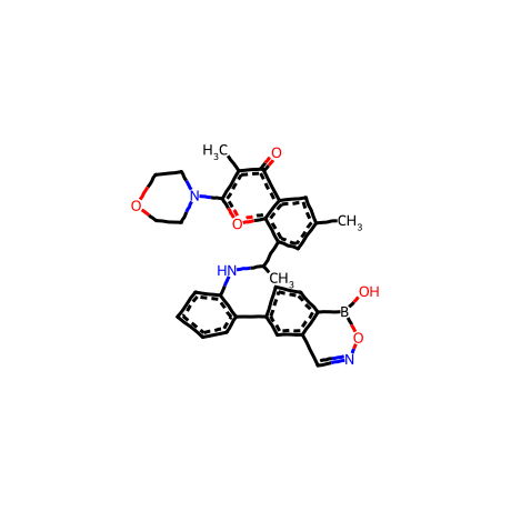 Cc1cc(C(C)Nc2ccccc2-c2ccc3c(c2)C=NOB3O)c2oc(N3CCOCC3)c(C)c(=O)c2c1